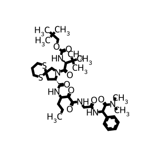 CCCC(NC(=O)[C@@H]1CC2(CN1C(=O)[C@@H](NC(=O)OCC(C)(C)C)C(C)(C)C)SCCCS2)C(=O)C(=O)NCC(=O)NC(C(=O)N(C)C)c1ccccc1